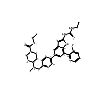 CCNC(=O)Nc1nc2cc(-c3ccc(ON(C)C4CCN(C(=O)OCC)CO4)nc3)cc(-c3ncccc3F)c2[nH]1